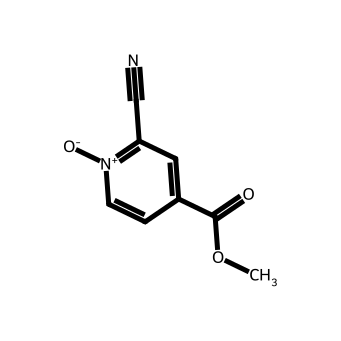 COC(=O)c1cc[n+]([O-])c(C#N)c1